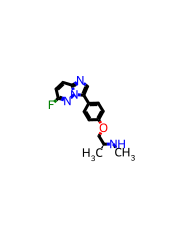 CN[C@H](C)COc1ccc(-c2cnc3ccc(F)nn23)cc1